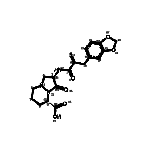 O=C(N[C@@H]1CN2CCC[C@@H](C(=O)O)N2C1=O)C(=S)Cc1ccc2c(c1)OCO2